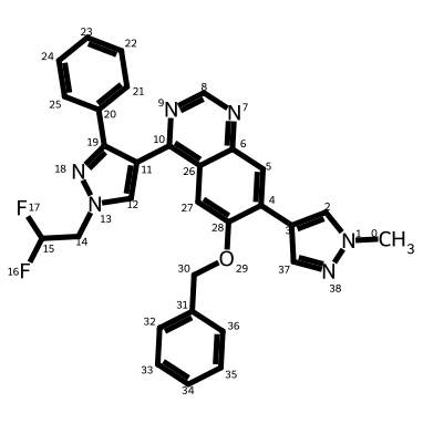 Cn1cc(-c2cc3ncnc(-c4cn(CC(F)F)nc4-c4ccccc4)c3cc2OCc2ccccc2)cn1